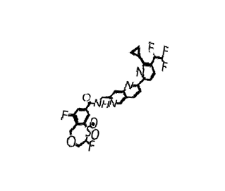 O=C(NCc1cc2nc(-c3ccc([C@H](F)C(F)F)c(C4CC4)n3)ccc2cn1)c1cc(F)c2c(c1)S(=O)(=O)[C@@H](F)COC2